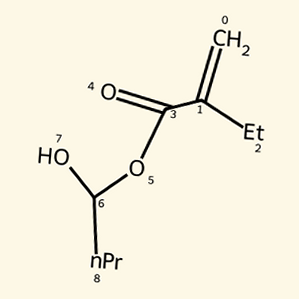 C=C(CC)C(=O)OC(O)CCC